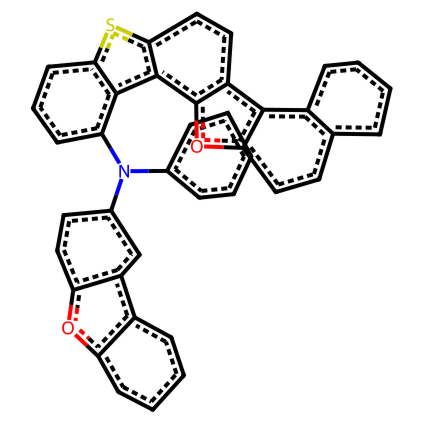 c1ccc(N(c2ccc3oc4ccccc4c3c2)c2cccc3sc4ccc5c(oc6ccc7ccccc7c65)c4c23)cc1